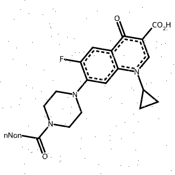 CCCCCCCCCC(=O)N1CCN(c2cc3c(cc2F)c(=O)c(C(=O)O)cn3C2CC2)CC1